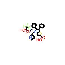 CC(c1cccnc1)n1c(-c2ccccc2)c(C2CCCCC2)c2sc(C(=O)O)cc21.O=C(O)C(F)(F)F